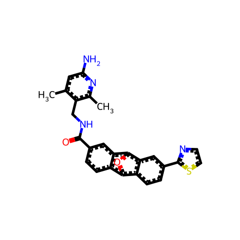 Cc1cc(N)nc(C)c1CNC(=O)c1ccc2c(c1)c1oc2c2ccc(-c3nccs3)cc21